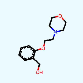 OCc1ccccc1OCCN1CCOCC1